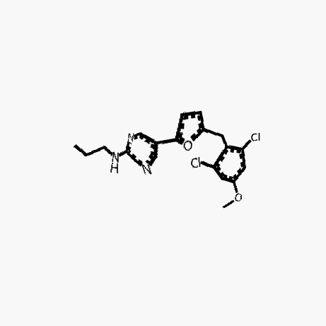 CCCNc1ncc(-c2ccc(Cc3c(Cl)cc(OC)cc3Cl)o2)cn1